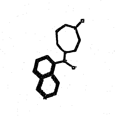 [O-][S+](c1cccc2cnccc12)N1CCCN(Cl)CC1